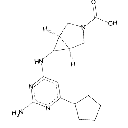 Nc1nc(NC2[C@H]3CN(C(=O)O)C[C@@H]23)cc(C2CCCC2)n1